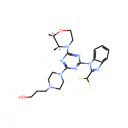 C[C@H]1OCCN(c2nc(N3CCN(CCCO)CC3)nc(-n3c(C(F)F)nc4ccccc43)n2)[C@H]1C